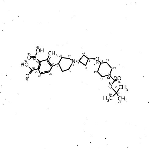 Cc1c(C2CCN([C@H]3C[C@H](OC4CCN(C(=O)OC(C)(C)C)CC4)C3)CC2)ccc(C(=O)O)c1C(=O)O